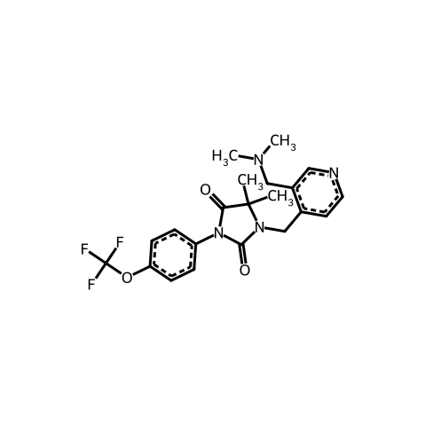 CN(C)Cc1cnccc1CN1C(=O)N(c2ccc(OC(F)(F)F)cc2)C(=O)C1(C)C